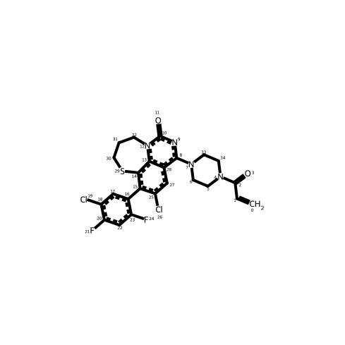 C=CC(=O)N1CCN(c2nc(=O)n3c4c(c(-c5cc(Cl)c(F)cc5F)c(Cl)cc24)SCCC3)CC1